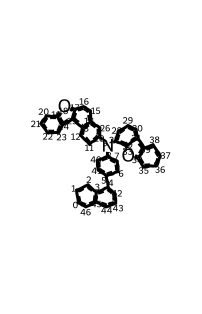 c1ccc2c(-c3ccc(N(c4ccc5c(ccc6oc7ccccc7c65)c4)c4cccc5c4oc4ccccc45)cc3)cccc2c1